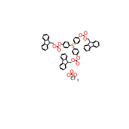 O=C(OCC1c2ccccc2-c2ccccc21)Oc1ccc([S+](c2ccc(OC(=O)OCC3c4ccccc4-c4ccccc43)cc2)c2ccc(OC(=O)OCC3c4ccccc4-c4ccccc43)cc2)cc1.O=S(=O)([O-])C(F)(F)F